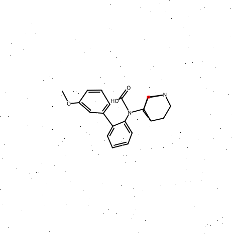 COc1cccc(-c2ccccc2N(C(=O)O)C2CN3CCC2CC3)c1